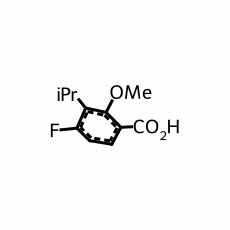 COc1c(C(=O)O)ccc(F)c1C(C)C